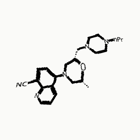 CCCN1CCN(C[C@H]2CN(c3ccc(C#N)c4ncccc34)C[C@@H](C)O2)CC1